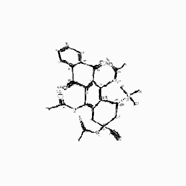 C#C[C@@]1(OC(C)=O)Cc2c(OC(C)=O)c3c(c(OC(C)=O)c2[C@H]([Si](C)(C)C)C1)C(=O)c1ccccc1C3=O